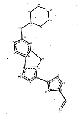 O=Cc1ccc(-c2n[nH]c3c2Cc2cc(CN4CCOCC4)ccc2-3)s1